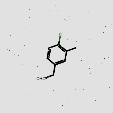 Cc1cc(CC=O)ccc1Cl